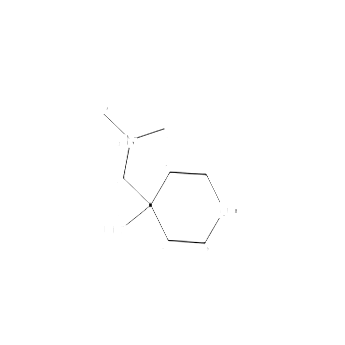 CCCC1(CN(C)C)CCOCC1